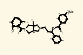 COc1ccc(C(=O)NC(CCN2CC3CN(C(=O)c4c(F)cccc4Cl)C[C@@H]3C2)c2ccccc2)cc1